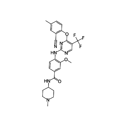 COc1cc(C(=O)NC2CCN(C)CC2)ccc1Nc1ncc(C(F)(F)F)c(Oc2ccc(C)cc2C#N)n1